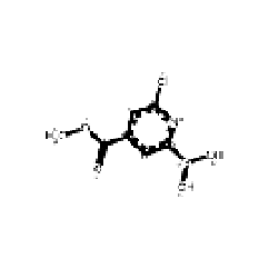 COC(=O)c1cc(Cl)nc(B(O)O)c1